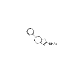 CC(=O)Nc1nc2c(s1)CN(c1cccnc1)CC2